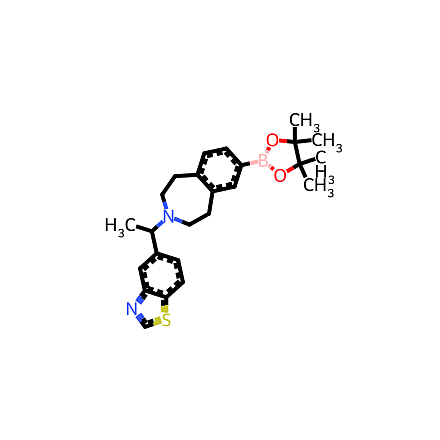 CC(c1ccc2scnc2c1)N1CCc2ccc(B3OC(C)(C)C(C)(C)O3)cc2CC1